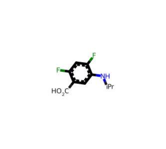 CC(C)Nc1cc(C(=O)O)c(F)cc1F